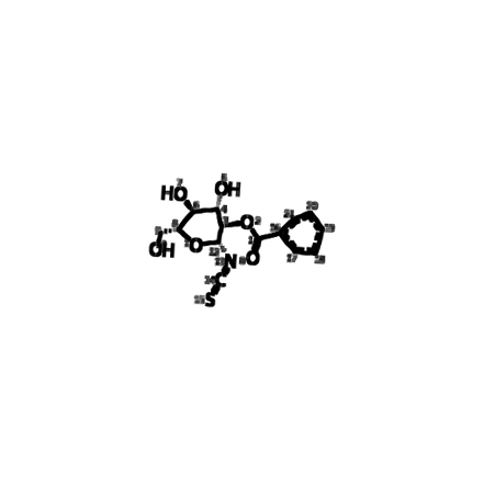 O=C(O[C@@H]1[C@@H](O)[C@H](O)[C@@H](CO)O[C@H]1N=C=S)c1ccccc1